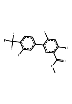 COC(=O)c1nc(-c2ccc(C(F)(F)F)c(F)c2)c(F)cc1Cl